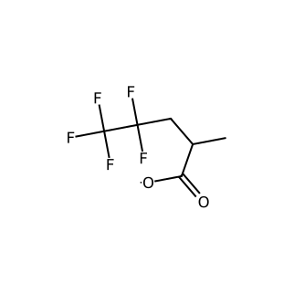 CC(CC(F)(F)C(F)(F)F)C([O])=O